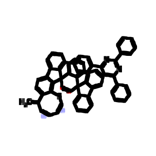 C=C1/C=C\C=C/Sc2c1ccc1c2C2(c3ccccc3C3(c4ccccc4-c4ccccc43)c3ccccc32)c2c(-c3ccc(-c4cc(-c5ccccc5)nc(-c5ccccc5)n4)cc3)cccc2-1